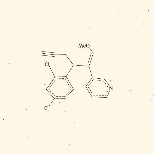 C#CCC(C(=COC)c1cccnc1)c1ccc(Cl)cc1Cl